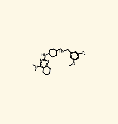 COc1cc(CNCC2CCC(Nc3nc4c(c(N(C)C)n3)CCCC4)CC2)cc(OC)c1